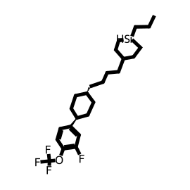 CCC[SiH]1CCC(CCCC[C@H]2CC[C@H](c3ccc(OC(F)(F)F)c(F)c3)CC2)CC1